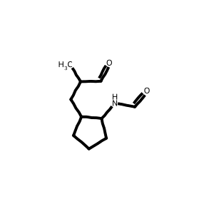 CC(C=O)CC1CCCC1NC=O